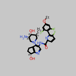 CCOc1cc(F)c(-c2nc(C(=O)Nc3cnc4c(c3N3C[C@@H](N)[C@H](O)[C@@H](C)C3)CC[C@H]4O)ccc2F)c(F)c1